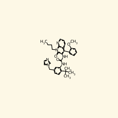 CCCCn1c(=O)c(NC(=O)Nc2cc(Cn3ccnc3)ccc2C(C)(C)C)c(-c2ccccc2OC)c2cccnc21